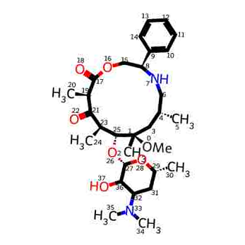 CO[C@]1(C)C[C@@H](C)CN[C@H](c2ccccc2)COC(=O)[C@H](C)C(=O)[C@H](C)[C@H]1O[C@@H]1O[C@H](C)CC(N(C)C)C1O